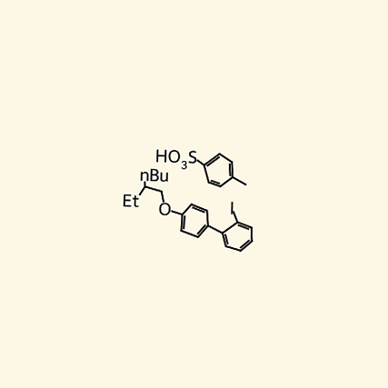 CCCCC(CC)COc1ccc(-c2ccccc2I)cc1.Cc1ccc(S(=O)(=O)O)cc1